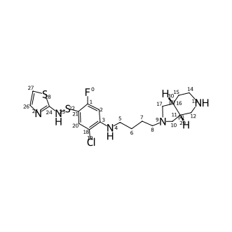 Fc1cc(NCCCCN2C[C@H]3CNCC[C@H]3C2)c(Cl)cc1SNc1nccs1